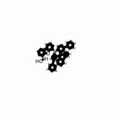 OBc1cccc2c1oc1c(N3c4ccc(-c5ccccc5)cc4C4(c5ccccc5-c5ccccc54)c4cc(-c5ccccc5)ccc43)cccc12